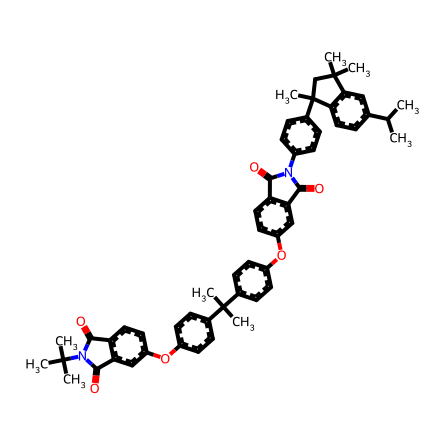 CC(C)c1ccc2c(c1)C(C)(C)CC2(C)c1ccc(N2C(=O)c3ccc(Oc4ccc(C(C)(C)c5ccc(Oc6ccc7c(c6)C(=O)N(C(C)(C)C)C7=O)cc5)cc4)cc3C2=O)cc1